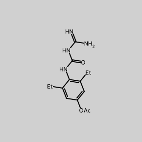 CCc1cc(OC(C)=O)cc(CC)c1NC(=O)NC(=N)N